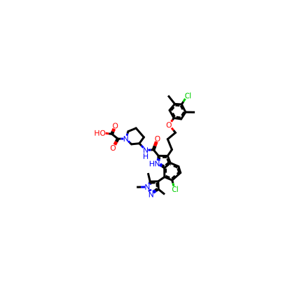 Cc1cc(OCCCc2c(C(=O)NC3CCCN(C(=O)C(=O)O)C3)[nH]c3c(-c4c(C)nn(C)c4C)c(Cl)ccc23)cc(C)c1Cl